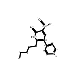 CCCCCc1[nH]c(=O)c([N+](=O)[O-])cc1-c1ccncc1